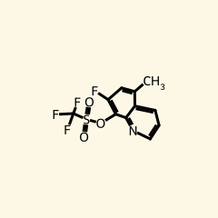 Cc1cc(F)c(OS(=O)(=O)C(F)(F)F)c2ncccc12